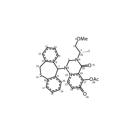 COC[C@H](C)N1CN(C2c3ccccc3CSc3ccccc32)n2ccc(=O)c(OC(C)=O)c2C1=O